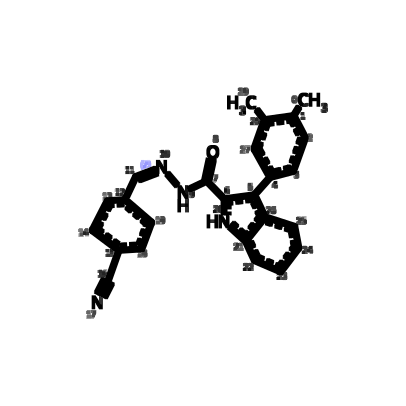 Cc1ccc(-c2c(C(=O)N/N=C\c3ccc(C#N)cc3)[nH]c3ccccc23)cc1C